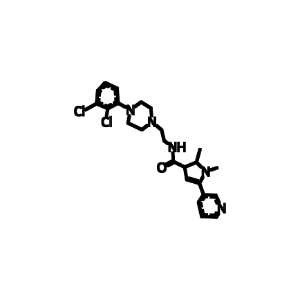 CC1C(C(=O)NCCN2CCN(c3cccc(Cl)c3Cl)CC2)C=C(c2cccnc2)N1C